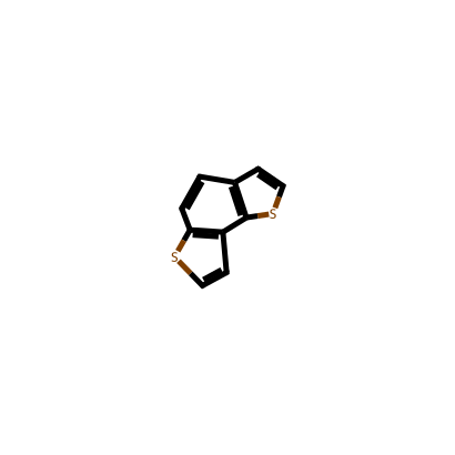 c1cc2c(ccc3ccsc32)s1